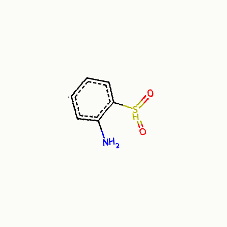 Nc1c[c]ccc1[SH](=O)=O